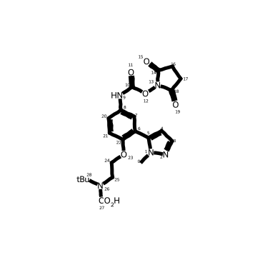 Cn1nccc1-c1cc(NC(=O)ON2C(=O)CCC2=O)ccc1OCCN(C(=O)O)C(C)(C)C